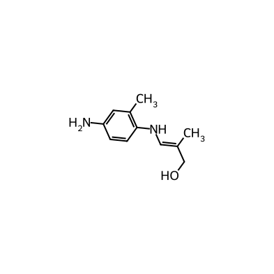 C/C(=C\Nc1ccc(N)cc1C)CO